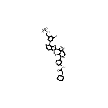 CS(=O)(=O)NCc1cc(F)cc(-c2nccc3[nH]c(-c4n[nH]c5cnc(-c6cncc(NC(=O)Cc7ccccc7)c6)c(F)c45)nc23)c1